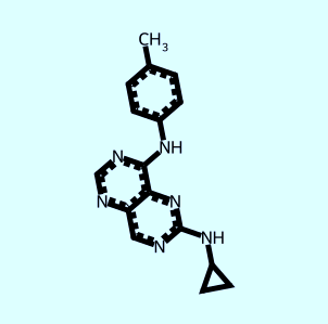 Cc1ccc(Nc2ncnc3cnc(NC4CC4)nc23)cc1